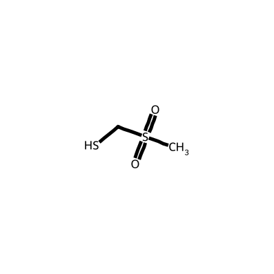 CS(=O)(=O)CS